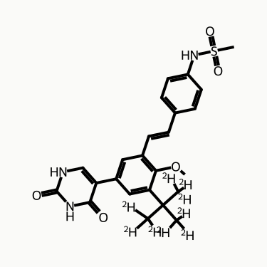 [2H]C([2H])([2H])C(c1cc(-c2c[nH]c(=O)[nH]c2=O)cc(/C=C/c2ccc(NS(C)(=O)=O)cc2)c1OC)(C([2H])([2H])[2H])C([2H])([2H])[2H]